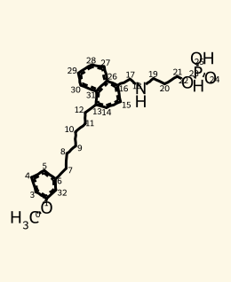 COc1cccc(CCCCCCc2ccc(CNCCCO[PH](=O)O)c3ccccc23)c1